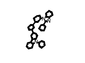 c1ccc(-c2nc3ccccc3n2-c2cccc(-c3cccc(-c4ccc5c(c4)c4ccccc4n5-c4ccccc4)c3)c2)cc1